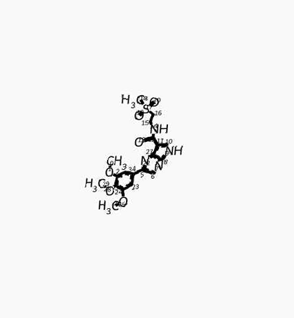 COc1cc(-c2cnc3[nH]cc(C(=O)NCCS(C)(=O)=O)c3n2)cc(OC)c1OC